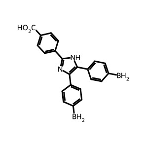 Bc1ccc(-c2nc(-c3ccc(C(=O)O)cc3)[nH]c2-c2ccc(B)cc2)cc1